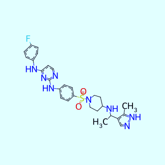 Cc1[nH]ncc1C(C)NC1CCN(S(=O)(=O)c2ccc(Nc3nccc(Nc4ccc(F)cc4)n3)cc2)CC1